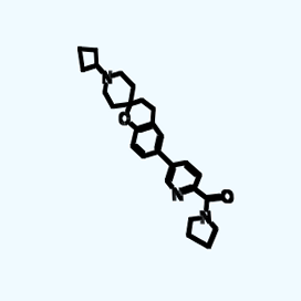 O=C(c1ccc(-c2ccc3c(c2)CCC2(CCN(C4CCC4)CC2)O3)cn1)N1CCCC1